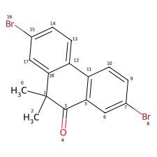 CC1(C)C(=O)c2cc(Br)ccc2-c2ccc(Br)cc21